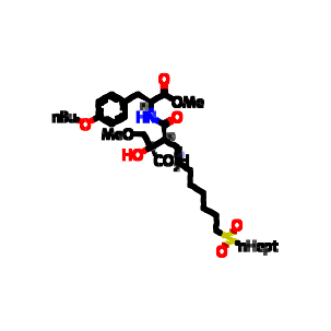 CCCCCCCS(=O)(=O)CCCCCC/C=C/[C@H](C(=O)N[C@@H](Cc1ccc(OCCCC)cc1)C(=O)OC)[C@@](O)(COC)C(=O)O